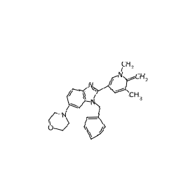 C=C1C(C)=CC(c2nc3ccc(N4CCOCC4)cc3n2Cc2ccccc2)=CN1C